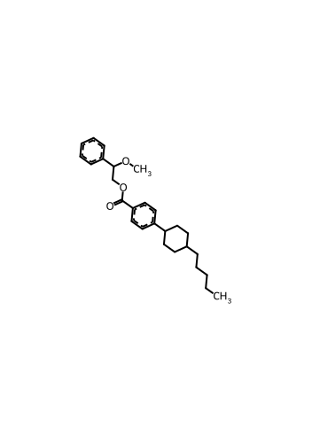 CCCCCC1CCC(c2ccc(C(=O)OCC(OC)c3ccccc3)cc2)CC1